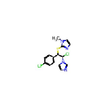 Cn1ccnc1SC(c1ccc(Cl)cc1)C(Cl)n1ccnc1